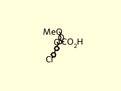 COCCOCC(CC(=O)c1ccc(-c2ccc(Cl)cc2)cc1)C(=O)O